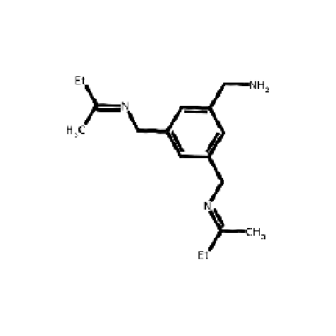 CCC(C)=NCc1cc(CN)cc(CN=C(C)CC)c1